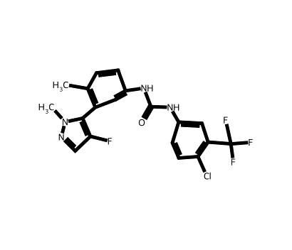 Cc1ccc(NC(=O)Nc2ccc(Cl)c(C(F)(F)F)c2)cc1-c1c(F)cnn1C